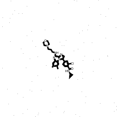 Cc1cc2nc(NCCCN3CCOCC3)c3ncc(-c4ccc(C(=O)NC5CC5)c(Cl)c4)n3c2cc1C